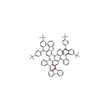 CC(C)(C)c1ccc(N(c2ccc(C(C)(C)C)cc2)c2ccc3c(c2)N(c2ccccc2-c2ccccc2)c2cc(-n4c5ccccc5c5ccccc54)cc4c2B3c2c(cc(N(c3ccc(C(C)(C)C)cc3)c3ccc(C(C)(C)C)cc3)c3c2oc2ccccc23)N4c2ccccc2-c2ccccc2)cc1